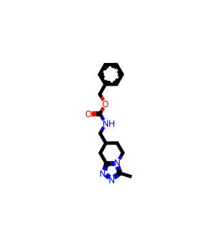 Cc1nnc2n1CCC(CNC(=O)OCc1ccccc1)C2